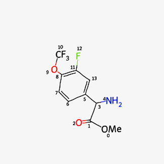 COC(=O)C(N)c1ccc(OC(F)(F)F)c(F)c1